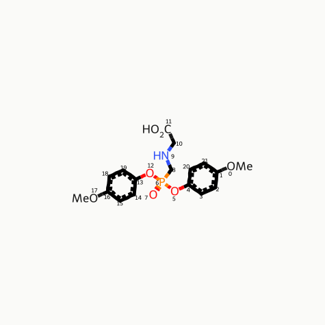 COc1ccc(OP(=O)(CNCC(=O)O)Oc2ccc(OC)cc2)cc1